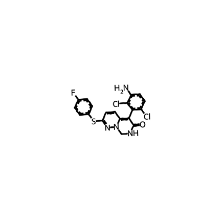 Nc1ccc(Cl)c(C2=C3C=CC(Sc4ccc(F)cc4)=NN3CNC2=O)c1Cl